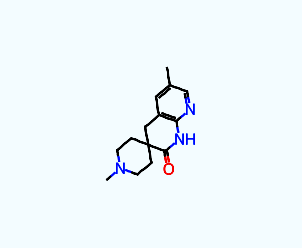 Cc1cnc2c(c1)CC1(CCN(C)CC1)C(=O)N2